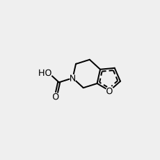 O=C(O)N1CCc2ccoc2C1